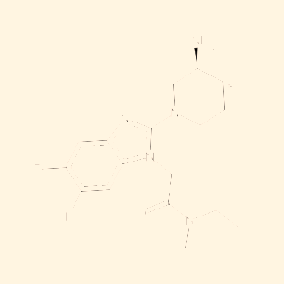 CCN(C)C(=O)Cn1c(N2CC[C@@H](F)[C@H](N)C2)nc2cc(F)c(F)cc21